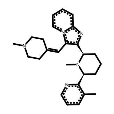 Cc1cccnc1[C@@H]1CCC[C@H](c2nc3ccccn3c2C=C2CCN(C)CC2)N1C